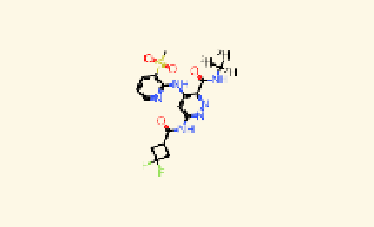 [2H]C([2H])([2H])NC(=O)c1nnc(NC(=O)C2CC(F)(F)C2)cc1Nc1ncccc1S(C)(=O)=O